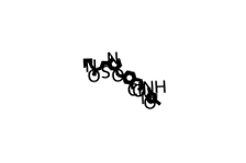 Cc1cc(NC(=O)Cc2ccc(Oc3ccnc4cc(C(=O)N5CCC5)sc34)cc2Cl)no1